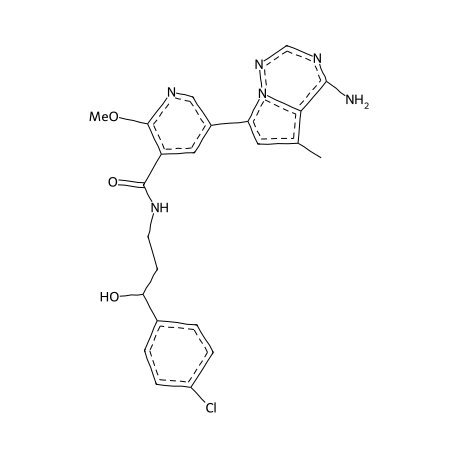 COc1ncc(-c2cc(C)c3c(N)ncnn23)cc1C(=O)NCCC(O)c1ccc(Cl)cc1